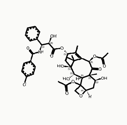 CC(=O)O[C@H]1C(=O)[C@@]2(C)[C@H]([C@H](O)[C@]3(O)C[C@H](OC(=O)[C@H](O)[C@@H](NC(=O)c4ccc(Cl)cc4)c4ccccc4)C(C)=C1C3(C)C)C1(OC(C)=O)CO[C@@H]1C[C@@H]2O